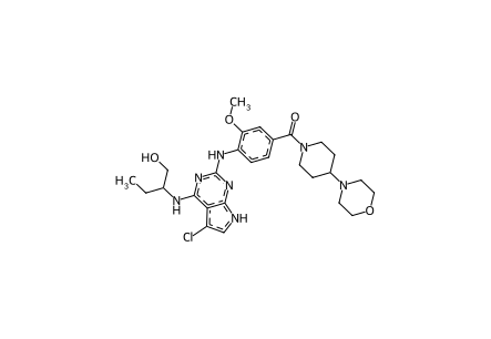 CCC(CO)Nc1nc(Nc2ccc(C(=O)N3CCC(N4CCOCC4)CC3)cc2OC)nc2[nH]cc(Cl)c12